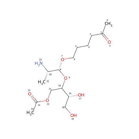 CC(=O)CCCCO[C@H](OC(COC(C)=O)[C@H](O)CO)[C@H](C)N